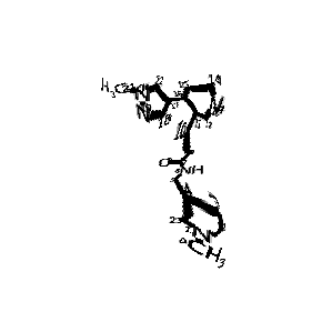 CN1CCC(CNC(=O)C=Cc2cnccc2-c2cnn(C)c2)C1